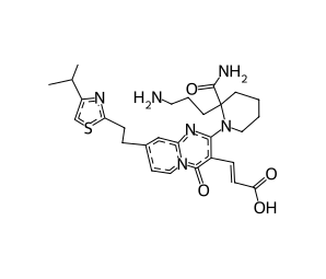 CC(C)c1csc(CCc2ccn3c(=O)c(C=CC(=O)O)c(N4CCCCC4(CCCN)C(N)=O)nc3c2)n1